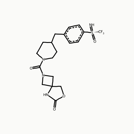 N=[S@@](=O)(c1ccc(CC2CCN(C(=O)N3CC4(COC(=O)N4)C3)CC2)cc1)C(F)(F)F